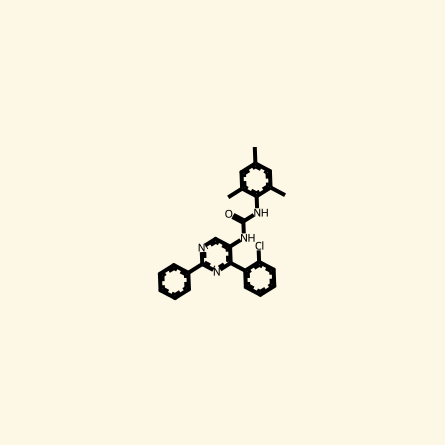 Cc1cc(C)c(NC(=O)Nc2cnc(-c3ccccc3)nc2-c2ccccc2Cl)c(C)c1